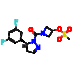 CS(=O)(=O)OC1CN(C(=O)N2N=CC[C@H]2c2cc(F)cc(F)c2)C1